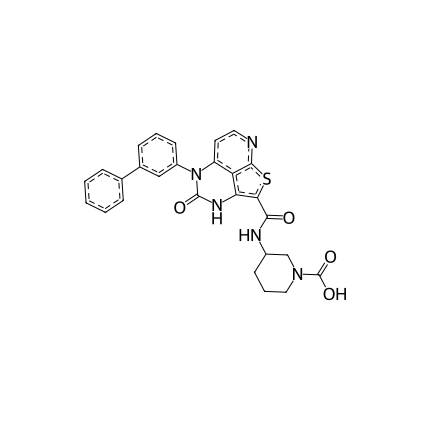 O=C(NC1CCCN(C(=O)O)C1)c1sc2nccc3c2c1NC(=O)N3c1cccc(-c2ccccc2)c1